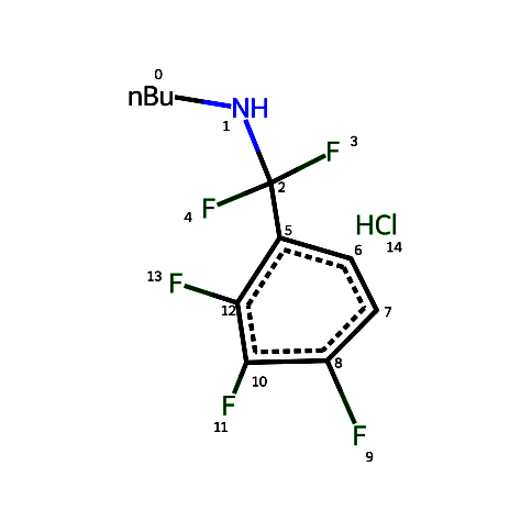 CCCCNC(F)(F)c1ccc(F)c(F)c1F.Cl